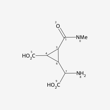 CNC(=O)C1C(C(=O)O)C1C(N)C(=O)O